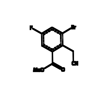 COC(=O)c1cc(F)cc(Br)c1CC#N